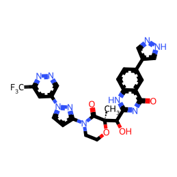 C[C@]1(C(O)c2nc(=O)c3cc(-c4cn[nH]c4)ccc3[nH]2)OCCN(c2ccn(-c3cnnc(C(F)(F)F)c3)n2)C1=O